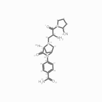 N#CC1CCCN1C(=O)C(N)CN1CC2C[C@H]1C(=O)N2c1ccc(C(N)=O)cc1